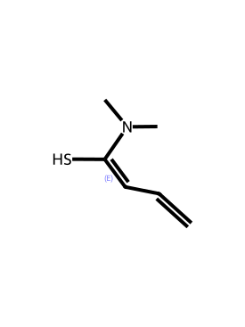 C=C/C=C(/S)N(C)C